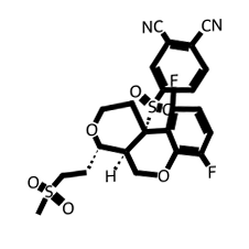 CS(=O)(=O)CC[C@@H]1OCC[C@@]2(S(=O)(=O)c3ccc(C#N)c(C#N)c3)c3c(F)ccc(F)c3OC[C@@H]12